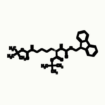 CC(C)(C)OC(=O)NCCCC[C@H](NC(=O)OCC1c2ccccc2-c2ccccc21)C(=O)OC(C)(C)C